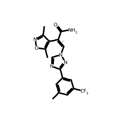 Cc1cc(-c2ncn(/C=C(/C(N)=O)c3c(C)noc3C)n2)cc(C(F)(F)F)c1